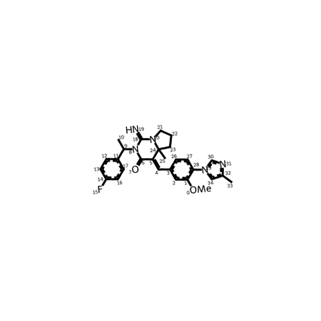 COc1cc(/C=C2/C(=O)N(C(C)c3ccc(F)cc3)C(=N)N3CCCC23C)ccc1-n1cnc(C)c1